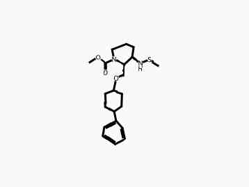 COC(=O)N1CCCC(NSC)C1COC1CCC(c2ccccc2)CC1